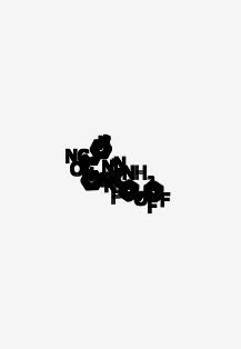 CN1CCC(C=C(C#N)C(=O)N2CCC[C@H](n3nc(-c4ccc(Oc5cccc(F)c5F)cc4F)c4c(N)ncnc43)C2)CC1